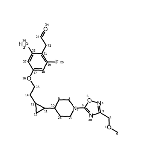 COCc1noc(N2CCC(C3CC3CCOc3cc(F)c(CC=O)c(P)c3)CC2)n1